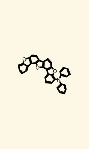 c1ccc(N(c2ccccc2)c2cccc3c2oc2ccc4c5ccc6oc7ccccc7c6c5oc4c23)cc1